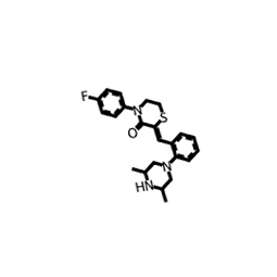 CC1CN(c2ccccc2C=C2SCCN(c3ccc(F)cc3)C2=O)CC(C)N1